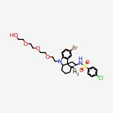 C=C1CCCC2N(CCOCCOCCOCCO)c3ccc(Br)cc3C12CCNS(=O)(=O)c1ccc(Cl)cc1